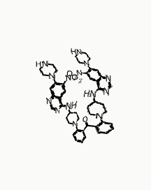 O=C(c1ccccc1N1CCC(Nc2ncnc3cc(N4CCNCC4)c([N+](=O)[O-])cc23)CC1)c1ccccc1N1CCC(Nc2ncnc3cc(N4CCNCC4)c([N+](=O)[O-])cc23)CC1